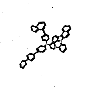 c1ccc(-c2ccc(-c3ccc(N(c4ccc(-c5ccccc5-n5c6ccccc6c6c7ccccc7ccc65)cc4)c4ccc(-c5cccc6ccccc56)cc4)cc3)cc2)cc1